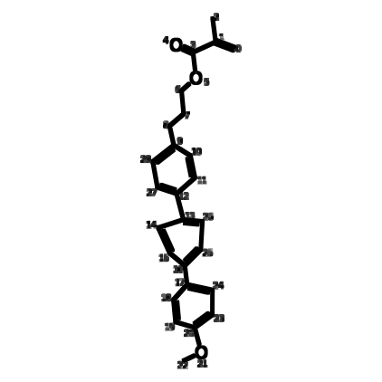 C=C(C)C(=O)OCCCc1ccc(-c2ccc(-c3ccc(OC)cc3)cc2)cc1